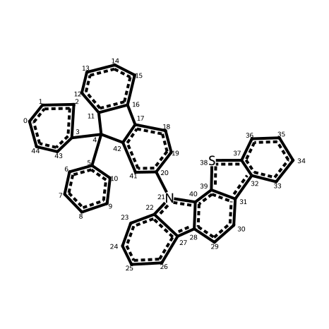 c1ccc(C2(c3ccccc3)c3ccccc3-c3ccc(-n4c5ccccc5c5ccc6c7ccccc7sc6c54)cc32)cc1